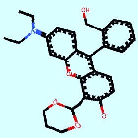 CC[N+](CC)=c1ccc2c(-c3ccccc3CO)c3ccc([O-])c(C4OCCCO4)c3oc-2c1